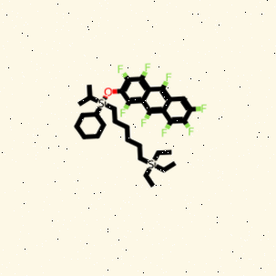 CC[Si](CC)(CC)CCCCCC[Si](Oc1c(F)c(F)c2c(F)c3[c]c(F)c(F)c(F)c3c(F)c2c1F)(C(C)C)C1CCCCC1